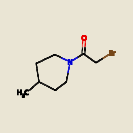 CC1CCN(C(=O)CBr)CC1